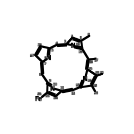 CC1=CC2=CC3=NC(=CC4=NC(=CC5=NC(=C(C)C1=N2)C(C)=C5C)C=[C]4[Fe])C=C3